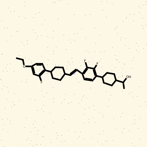 CCOc1ccc(C2CCC(/C=C/c3ccc(C4CCC(C(C)O)CC4)c(F)c3F)CC2)c(F)c1